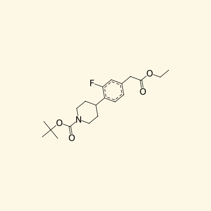 CCOC(=O)Cc1ccc(C2CCN(C(=O)OC(C)(C)C)CC2)c(F)c1